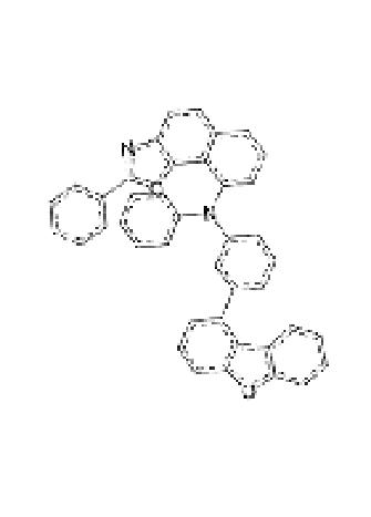 c1ccc(-c2nc3ccc4cccc(N(c5ccccc5)c5cccc(-c6cccc7oc8ccccc8c67)c5)c4c3o2)cc1